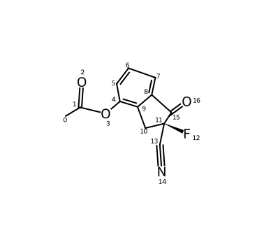 CC(=O)Oc1cccc2c1C[C@@](F)(C#N)C2=O